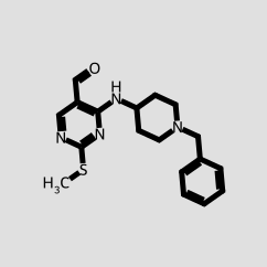 CSc1ncc(C=O)c(NC2CCN(Cc3ccccc3)CC2)n1